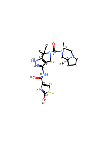 C[C@H]1CN2CCC[C@H]2CN1C(=O)N1Cc2c(NC(=O)c3csc(Br)n3)n[nH]c2C1(C)C